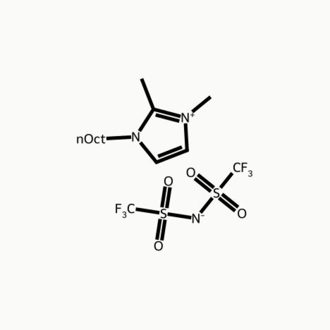 CCCCCCCCn1cc[n+](C)c1C.O=S(=O)([N-]S(=O)(=O)C(F)(F)F)C(F)(F)F